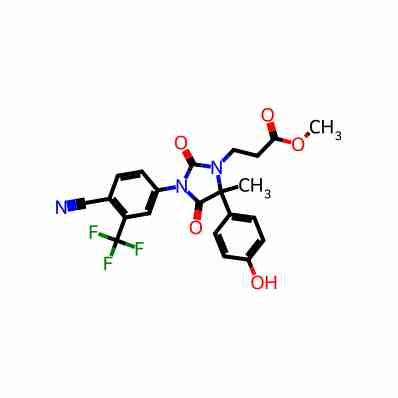 COC(=O)CCN1C(=O)N(c2ccc(C#N)c(C(F)(F)F)c2)C(=O)C1(C)c1ccc(O)cc1